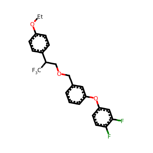 CCOc1ccc(C(COCc2cccc(Oc3ccc(F)c(F)c3)c2)C(F)(F)F)cc1